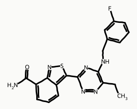 CCc1nnc(-c2snc3c(C(N)=O)cccc23)nc1NCc1cccc(F)c1